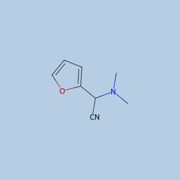 CN(C)C(C#N)c1ccco1